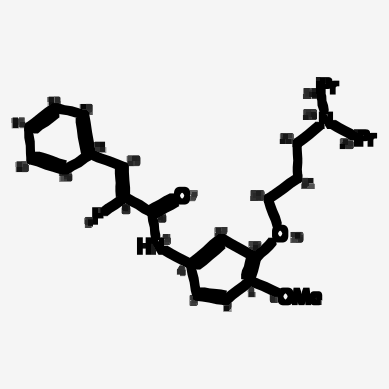 COc1ccc(NC(=O)C(F)=Cc2ccccc2)cc1OCCCN(C(C)C)C(C)C